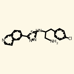 NCC(Cc1ccc(Cl)cc1)Nc1nnc(-c2ccc3cnccc3c2)s1